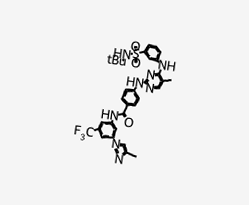 Cc1cn(-c2cc(NC(=O)c3ccc(Nc4ncc(C)c(Nc5cccc(S(=O)(=O)NC(C)(C)C)c5)n4)cc3)cc(C(F)(F)F)c2)cn1